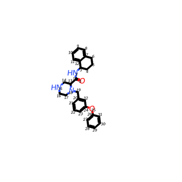 O=C(NC1CCCc2ccccc21)C1CNCCN1Cc1cccc(Oc2ccccc2)c1